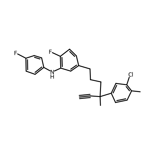 C#CC(C)(CCCc1ccc(F)c(Nc2ccc(F)cc2)c1)c1ccc(C)c(Cl)c1